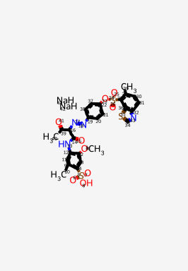 COc1cc(S(=O)(=O)O)c(C)cc1NC(=O)C(N=Nc1ccc(OS(=O)(=O)c2c(C)ccc3ncsc23)cc1)C(C)=O.[NaH].[NaH]